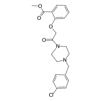 COC(=O)c1ccccc1OCC(=O)N1CCN(Cc2ccc(Cl)cc2)CC1